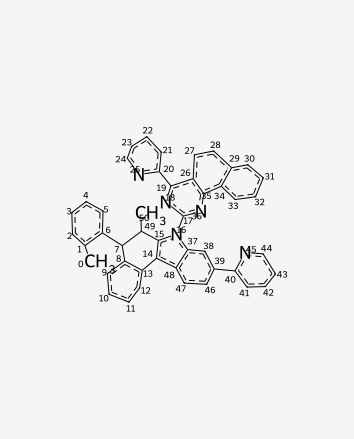 Cc1ccccc1C1c2ccccc2-c2c(n(-c3nc(-c4ccccn4)c4ccc5ccccc5c4n3)c3cc(-c4ccccn4)ccc23)C1C